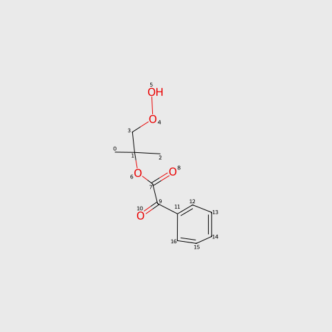 CC(C)(COO)OC(=O)C(=O)c1ccccc1